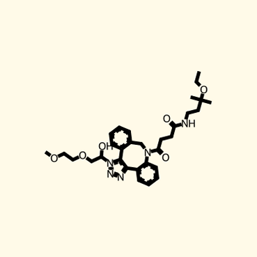 CCOC(C)(C)CCNC(=O)CCC(=O)N1Cc2ccccc2-c2c(nnn2C(O)COCCOC)-c2ccccc21